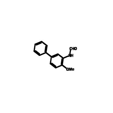 COc1ccc(-c2ccccc2)cc1NC=O